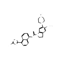 COc1cc2c(cc1N1CCN(C)CC1)N(C(=O)Nc1cccc3c(-c4nc(C)no4)cccc13)CC2